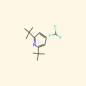 CC(C)(C)c1cccc(C(C)(C)C)n1.FC(F)F